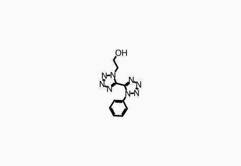 OCCn1nnnc1-c1nnnn1-c1ccccc1